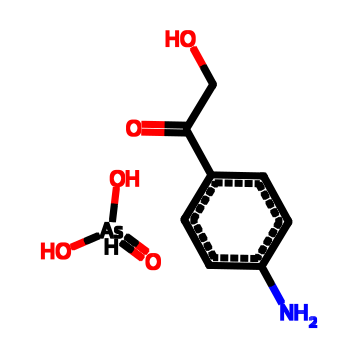 Nc1ccc(C(=O)CO)cc1.O=[AsH](O)O